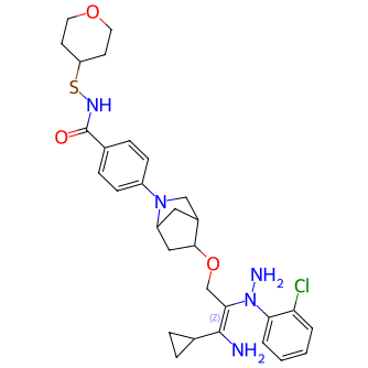 N/C(=C(/COC1CC2CC1CN2c1ccc(C(=O)NSC2CCOCC2)cc1)N(N)c1ccccc1Cl)C1CC1